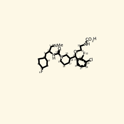 CNCC(CC1CCC(F)CC1)NC(=O)N1CCCC(C(OCCNC(=O)O)c2cccc(Cl)c2F)C1